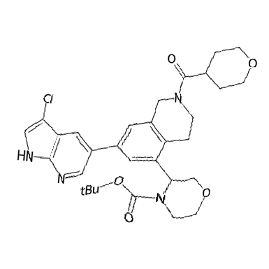 CC(C)(C)OC(=O)N1CCOCC1c1cc(-c2cnc3[nH]cc(Cl)c3c2)cc2c1CCN(C(=O)C1CCOCC1)C2